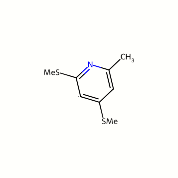 CSc1[c]c(SC)nc(C)c1